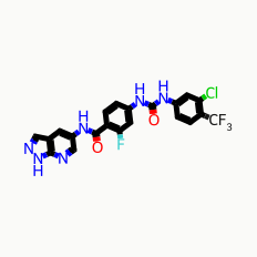 O=C(Nc1ccc(C(=O)Nc2cnc3[nH]ncc3c2)c(F)c1)Nc1ccc(C(F)(F)F)c(Cl)c1